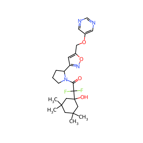 CC1(C)CC(C)(C)CC(O)(C(F)(F)C(=O)N2CCCC2c2cc(COc3cncnc3)on2)C1